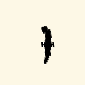 CCCCCCCc1ccc(/N=N/c2ccc(NNc3ccc(/N=N/c4ccc(N(CC)CCC(F)(F)F)cc4)cc3)cc2)cc1